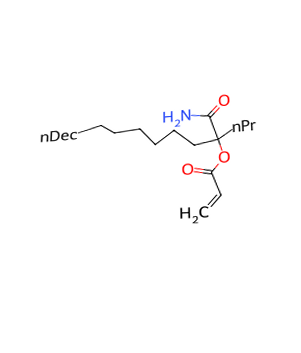 C=CC(=O)OC(CCC)(CCCCCCCCCCCCCCCC)C(N)=O